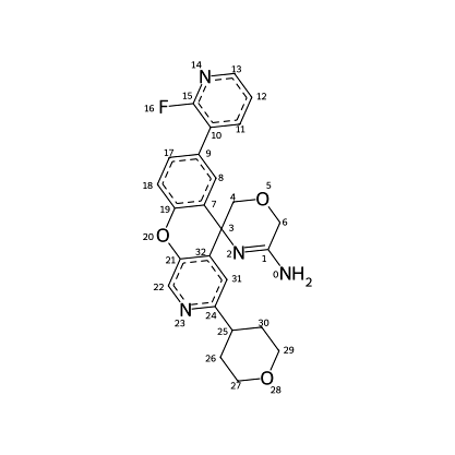 NC1=NC2(COC1)c1cc(-c3cccnc3F)ccc1Oc1cnc(C3CCOCC3)cc12